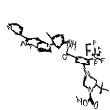 Cc1ccc(NC(=O)c2cc(N3CCN(C(=O)O)C(C(C)(C)C)C3)cc(S(F)(F)(F)(F)F)c2)cc1-n1ccn2nc(-c3cccnc3)cc12